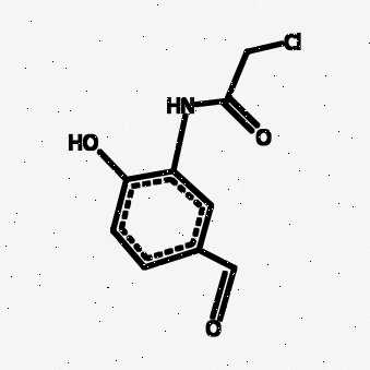 O=Cc1ccc(O)c(NC(=O)CCl)c1